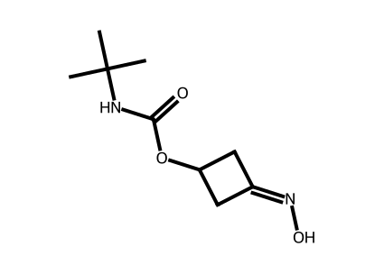 CC(C)(C)NC(=O)OC1CC(=NO)C1